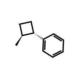 C[C@H]1[CH]C[C@@H]1c1ccccc1